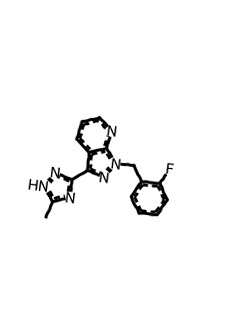 Cc1nc(-c2nn(Cc3ccccc3F)c3ncccc23)n[nH]1